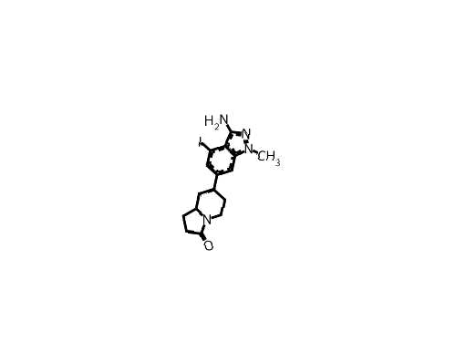 Cn1nc(N)c2c(I)cc(C3CCN4C(=O)CCC4C3)cc21